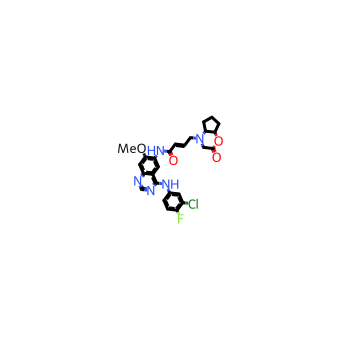 COc1cc2ncnc(Nc3ccc(F)c(Cl)c3)c2cc1NC(=O)C=CCN1CC(=O)OC2CCCC21